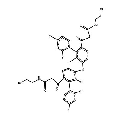 O=C(CC(=O)c1ccc(Sc2ccc(C(=O)CC(=O)NCCO)c(-c3ccc(Cl)cc3Cl)c2Cl)c(Cl)c1-c1ccc(Cl)cc1Cl)NCCO